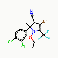 CCON1C(C(F)(F)F)=C(Br)C(C#N)C1(C)c1ccc(Cl)c(Cl)c1